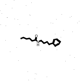 CCCCCC(=O)NCCCCc1ccccc1